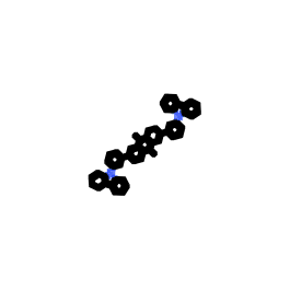 Cc1c2c(c(C)c3cc(-c4cccc(-n5c6c(c7ccccc75)CCC=C6)c4)ccc13)CCC(c1cccc(-n3c4ccccc4c4ccccc43)c1)=C2